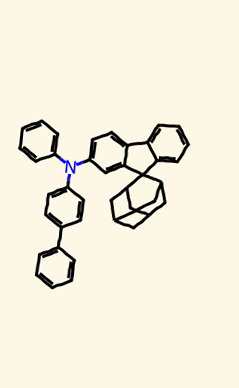 c1ccc(-c2ccc(N(c3ccccc3)c3ccc4c(c3)C3(c5ccccc5-4)C4CC5CC(C4)CC3C5)cc2)cc1